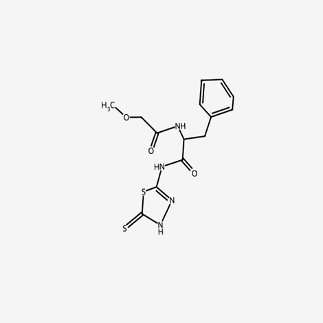 COCC(=O)NC(Cc1ccccc1)C(=O)Nc1n[nH]c(=S)s1